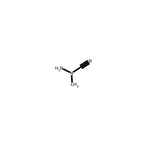 CN(N)C#N